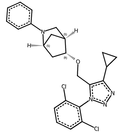 Clc1cccc(Cl)c1-n1nnc(C2CC2)c1CO[C@@H]1C[C@@H]2C[C@H]1CN2c1ccccc1